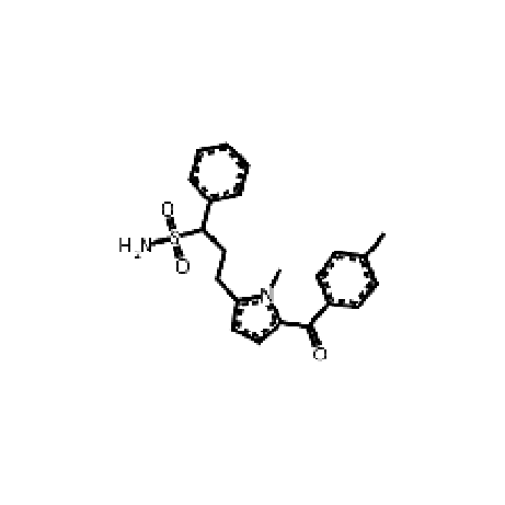 Cc1ccc(C(=O)c2ccc(CCC(c3ccccc3)S(N)(=O)=O)n2C)cc1